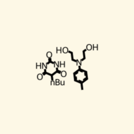 CCCCC1C(=O)NC(=O)NC1=O.Cc1ccc(N(CCO)CCO)cc1